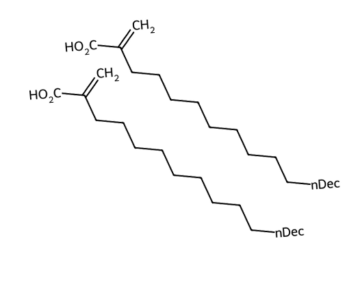 C=C(CCCCCCCCCCCCCCCCCCC)C(=O)O.C=C(CCCCCCCCCCCCCCCCCCC)C(=O)O